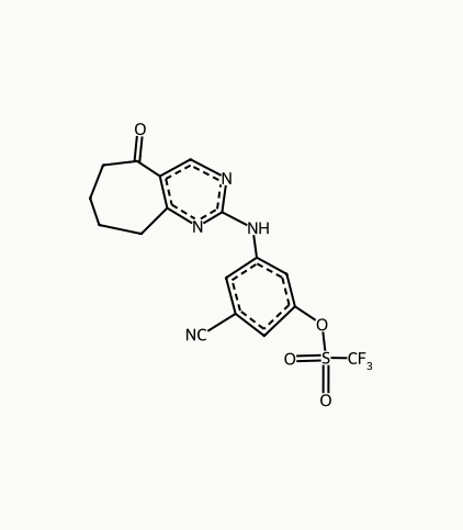 N#Cc1cc(Nc2ncc3c(n2)CCCCC3=O)cc(OS(=O)(=O)C(F)(F)F)c1